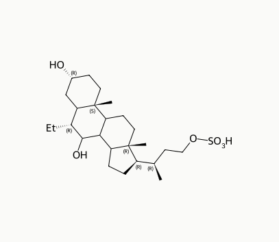 CC[C@H]1C(O)C2C(CC[C@@]3(C)C2CC[C@@H]3[C@H](C)CCOS(=O)(=O)O)[C@@]2(C)CC[C@@H](O)CC12